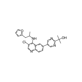 CC(Cc1ccco1)Nc1c(Cl)cnc2ccc(-c3cnc(C(C)(C)O)nc3)cc12